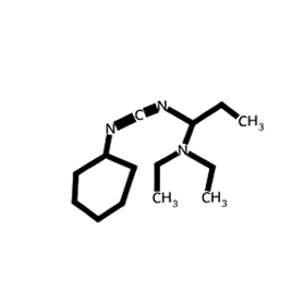 CCC(N=C=NC1CCCCC1)N(CC)CC